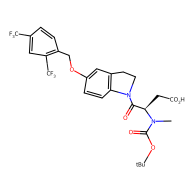 CN(C(=O)OC(C)(C)C)[C@H](CC(=O)O)C(=O)N1CCc2cc(OCc3ccc(C(F)(F)F)cc3C(F)(F)F)ccc21